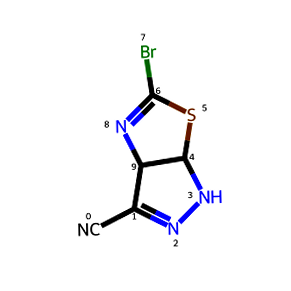 N#CC1=NNC2SC(Br)=NC12